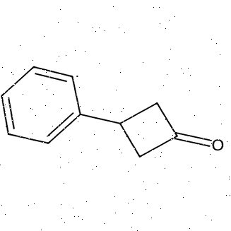 O=C1CC(c2[c]cccc2)C1